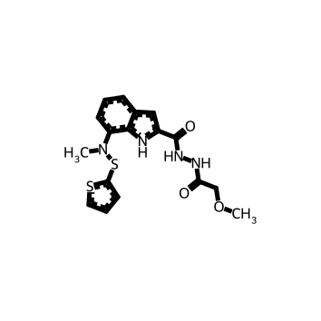 COCC(=O)NNC(=O)c1cc2cccc(N(C)Sc3cccs3)c2[nH]1